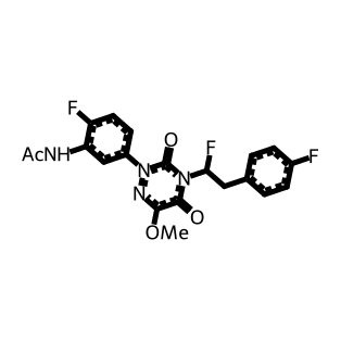 COc1nn(-c2ccc(F)c(NC(C)=O)c2)c(=O)n(C(F)Cc2ccc(F)cc2)c1=O